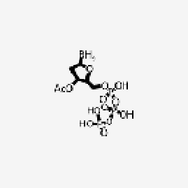 BC1CC(OC(C)=O)C(COP(=O)(O)OP(=O)(O)OP(=O)(O)O)O1